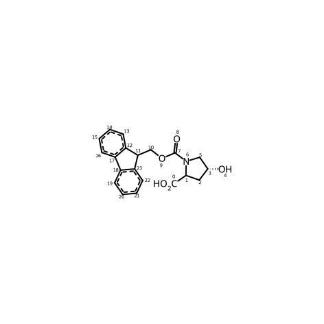 O=C(O)C1C[C@@H](O)CN1C(=O)OCC1c2ccccc2-c2ccccc21